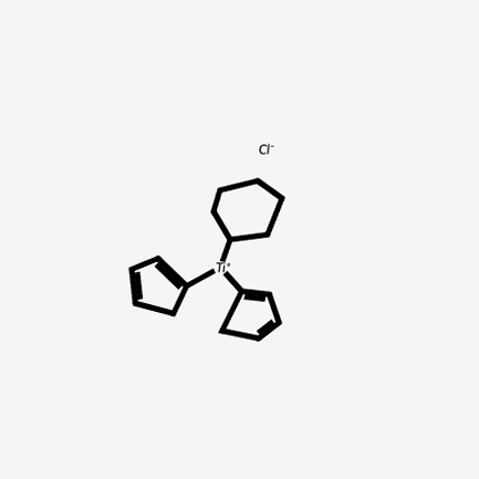 C1=CC[C]([Ti+]([C]2=CC=CC2)[CH]2CCCCC2)=C1.[Cl-]